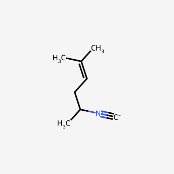 [C-]#[N+]C(C)CC=C(C)C